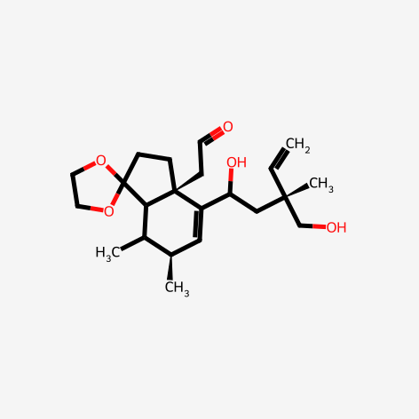 C=C[C@](C)(CO)CC(O)C1=C[C@@H](C)C(C)C2C3(CC[C@]12CC=O)OCCO3